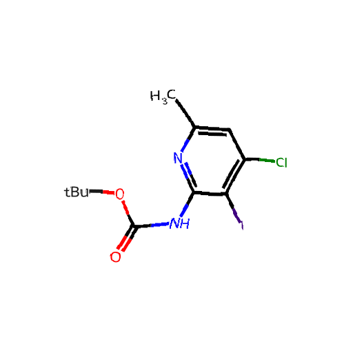 Cc1cc(Cl)c(I)c(NC(=O)OC(C)(C)C)n1